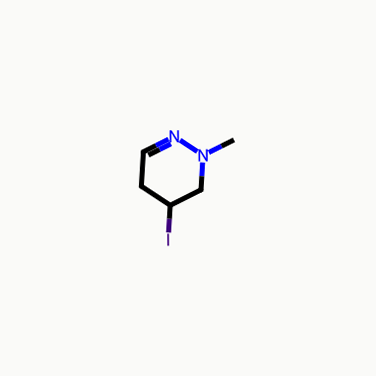 CN1CC(I)CC=N1